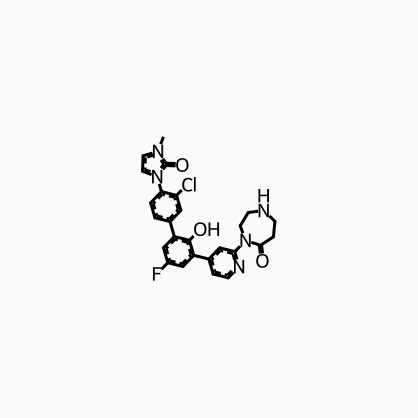 Cn1ccn(-c2ccc(-c3cc(F)cc(-c4ccnc(N5CCNCCC5=O)c4)c3O)cc2Cl)c1=O